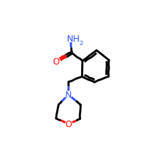 NC(=O)c1ccccc1CN1CCOCC1